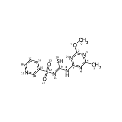 COc1nc(C)nc(N/C(S)=N/S(=O)(=O)c2cccnc2)n1